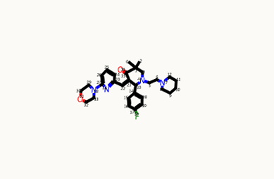 CC1(C)CN(CCN2CCCCC2)C(c2ccc(F)cc2)C(=Cc2cccc(N3CCOCC3)n2)C1=O